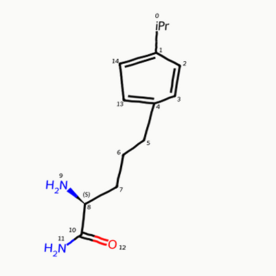 CC(C)c1ccc(CCC[C@H](N)C(N)=O)cc1